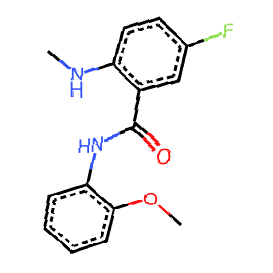 CNc1ccc(F)cc1C(=O)Nc1ccccc1OC